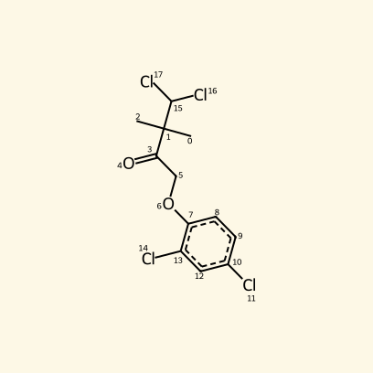 CC(C)(C(=O)COc1ccc(Cl)cc1Cl)C(Cl)Cl